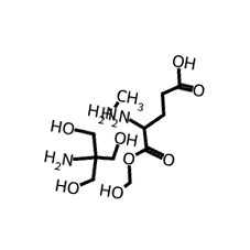 CN.NC(CCC(=O)O)C(=O)OCO.NC(CO)(CO)CO